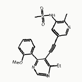 CCc1ncnc(-c2ccccc2OC)c1C#Cc1cnc(C)c(NS(C)(=O)=O)c1